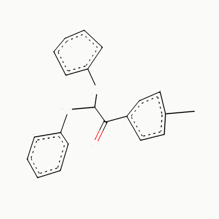 Cc1ccc(C(=O)C([Se]c2ccccc2)[Se]c2ccccc2)cc1